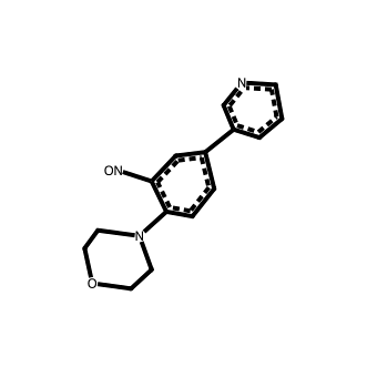 O=Nc1cc(-c2cccnc2)ccc1N1CCOCC1